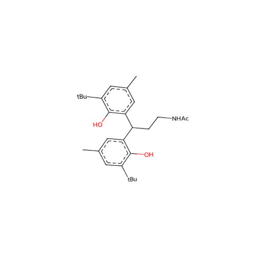 CC(=O)NCCC(c1cc(C)cc(C(C)(C)C)c1O)c1cc(C)cc(C(C)(C)C)c1O